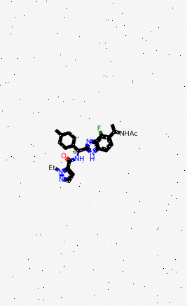 CCn1nccc1C(=O)N[C@H](c1nc2c(F)c(C(C)NC(C)=O)ccc2[nH]1)C1CCC(C)CC1